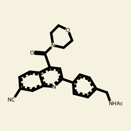 CC(=O)NCc1ccc(-c2cc(C(=O)N3CCOCC3)c3ccc(C#N)cc3n2)cc1